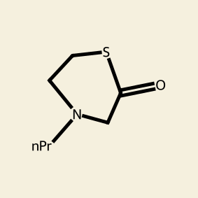 [CH2]CCN1CCSC(=O)C1